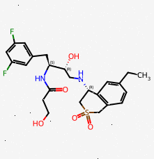 CCc1ccc2c(c1)[C@@H](NC[C@@H](O)[C@H](Cc1cc(F)cc(F)c1)NC(=O)CCO)CS(=O)(=O)C2